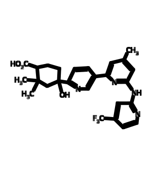 Cc1cc(Nc2cc(C(F)(F)F)ccn2)nc(-c2ccc(C3(O)CCC(C(=O)O)C(C)(C)C3)nc2)c1